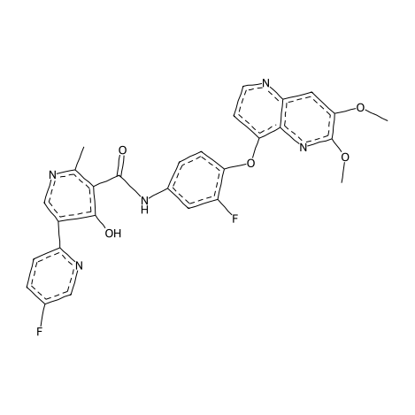 COc1cc2nccc(Oc3ccc(NC(=O)c4c(C)ncc(-c5ccc(F)cn5)c4O)cc3F)c2nc1OC